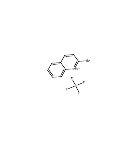 Brc1ccc2ccccc2[nH+]1.F[B-](F)(F)F